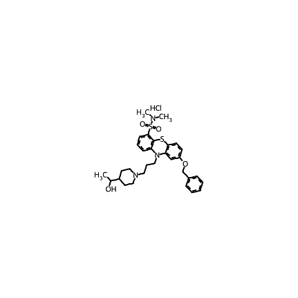 CC(O)C1CCN(CCCN2c3cc(OCc4ccccc4)ccc3Sc3c2cccc3S(=O)(=O)N(C)C)CC1.Cl